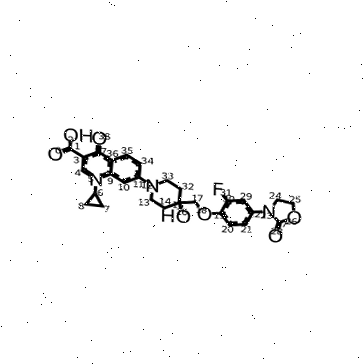 O=C(O)c1cn(C2CC2)c2cc(N3CCC(O)(COc4ccc(N5CCOC5=O)cc4F)CC3)ccc2c1=O